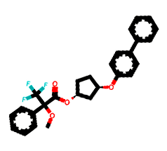 COC(C(=O)O[C@@H]1CC[C@@H](Oc2ccc(-c3ccccc3)cc2)C1)(c1ccccc1)C(F)(F)F